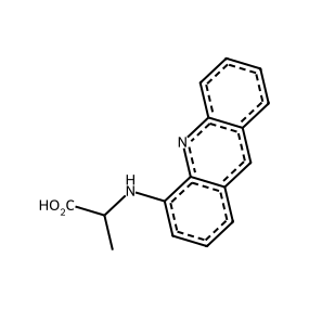 CC(Nc1cccc2cc3ccccc3nc12)C(=O)O